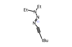 CCN(CC)/N=N/C#CC(C)(C)C